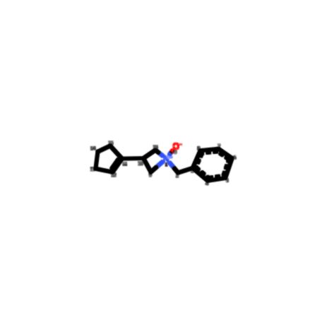 [O-][N+]1(Cc2ccccc2)CC(C2=CCCC2)C1